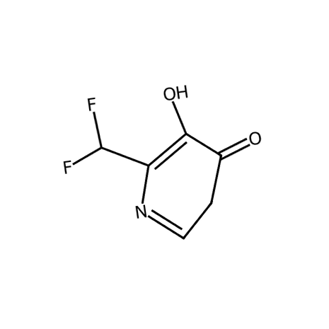 O=C1CC=NC(C(F)F)=C1O